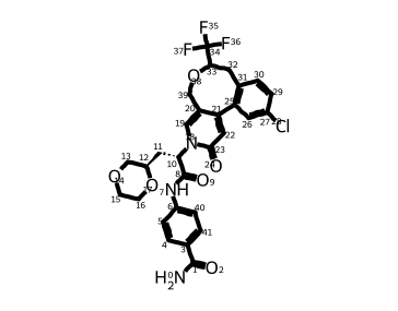 NC(=O)c1ccc(NC(=O)[C@H](C[C@@H]2COCCO2)n2cc3c(cc2=O)-c2cc(Cl)ccc2CC(C(F)(F)F)OC3)cc1